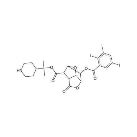 CC(C)(OC(=O)C1C2OC3C(OC(=O)C31)C2OC(=O)c1cc(I)cc(I)c1I)C1CCNCC1